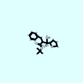 CC(C)(C)OC(=O)C(Cc1ccccc1)C(N)(O)C1CCCO1